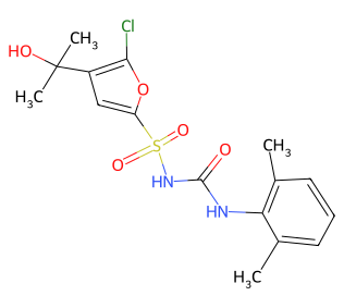 Cc1cccc(C)c1NC(=O)NS(=O)(=O)c1cc(C(C)(C)O)c(Cl)o1